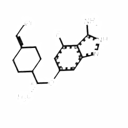 CC(C)C=C1CCC([C@@H](C)Oc2cc(F)c3c(N)[nH]nc3c2)CC1